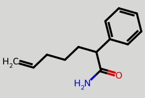 C=CCCCC(C(N)=O)c1ccccc1